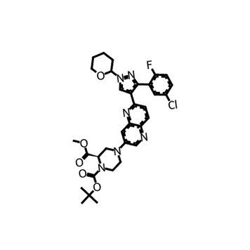 COC(=O)[C@H]1CN(c2cnc3ccc(-c4cn(C5CCCCO5)nc4-c4cc(Cl)ccc4F)nc3c2)CCN1C(=O)OC(C)(C)C